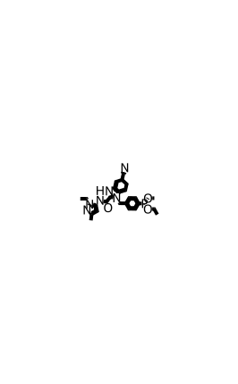 CCOP(OC)c1ccc(Cn2c(C(=O)Nc3cc(C)nn3CC)nc3c2=CCC(C#N)C=3)cc1